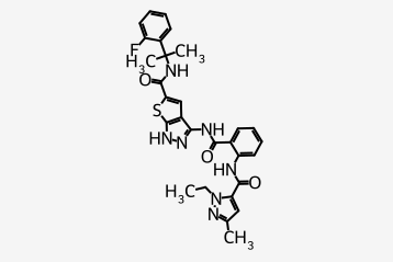 CCn1nc(C)cc1C(=O)Nc1ccccc1C(=O)Nc1n[nH]c2sc(C(=O)NC(C)(C)c3ccccc3F)cc12